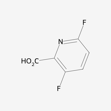 O=C(O)c1nc(F)ccc1F